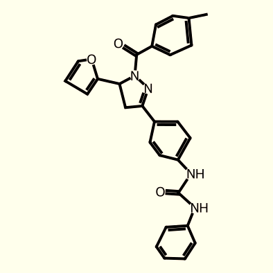 Cc1ccc(C(=O)N2N=C(c3ccc(NC(=O)Nc4ccccc4)cc3)CC2c2ccco2)cc1